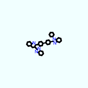 c1ccc(-n2c(-c3ccc(-c4ccc5c6nc7ccccc7cc6c6nc7ccccc7n6c5c4)cc3)nc3ccccc32)cc1